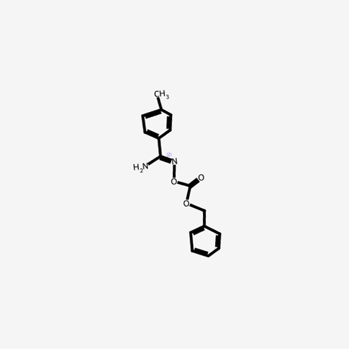 Cc1ccc(/C(N)=N/OC(=O)OCc2ccccc2)cc1